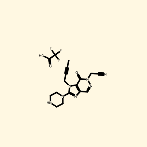 CC#CCn1c(N2CCNCC2)nc2cnn(CC#N)c(=O)c21.O=C(O)C(F)(F)F